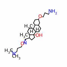 CN(C)CCCO/N=C/C1CC[C@@]2(O)[C@@H]3CCC4CC(OCCCN)CC[C@]4(C)[C@@H]3CC[C@]12C